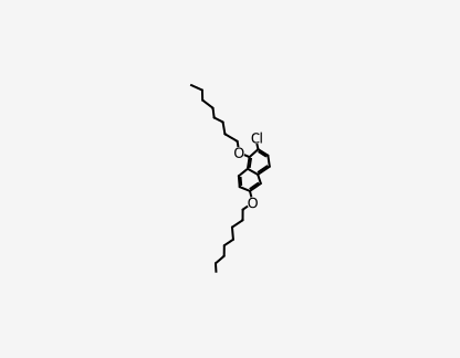 CCCCCCCCOc1ccc2c(OCCCCCCCC)c(Cl)ccc2c1